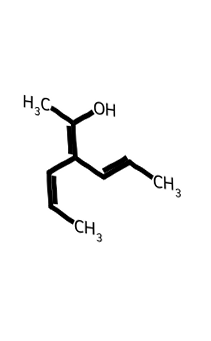 C\C=C/C(/C=C/C)=C(\C)O